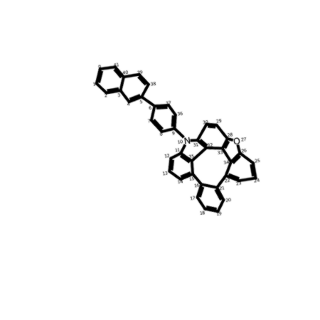 c1ccc2cc(-c3ccc(-n4c5cccc6c7ccccc7c7cccc8oc9ccc4c(c9c87)c65)cc3)ccc2c1